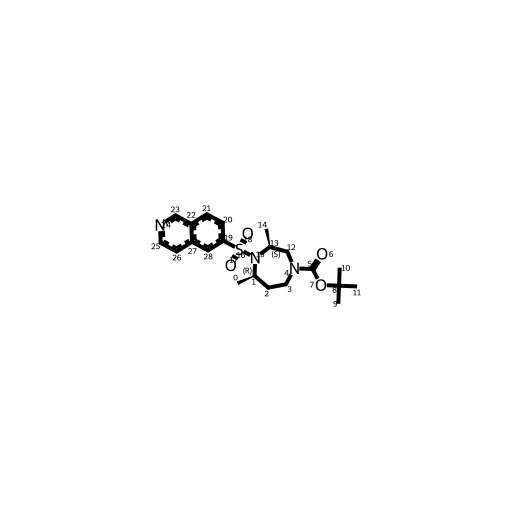 C[C@@H]1CCN(C(=O)OC(C)(C)C)C[C@H](C)N1S(=O)(=O)c1ccc2cnccc2c1